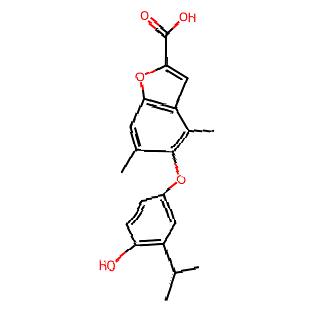 Cc1cc2oc(C(=O)O)cc2c(C)c1Oc1ccc(O)c(C(C)C)c1